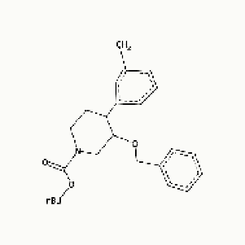 CCCCOC(=O)N1CCC(c2cccc(C)c2)C(OCc2ccccc2)C1